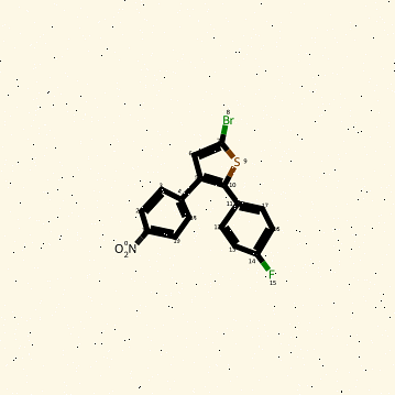 O=[N+]([O-])c1ccc(-c2cc(Br)sc2-c2ccc(F)cc2)cc1